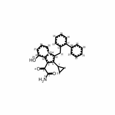 NC(=O)C(=O)c1c(C2CC2)c(Cc2ccccc2-c2ccccc2)n2cccc(O)c12